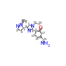 CC(C)n1nccc1-c1cn2c(n1)-c1ccc(CN)cc1OCC2